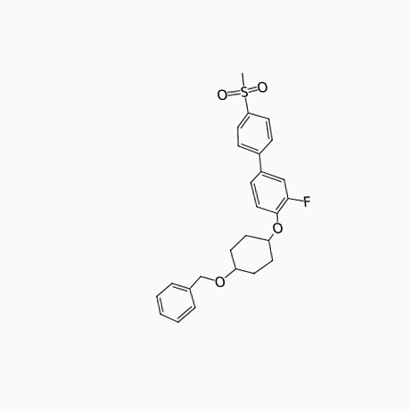 CS(=O)(=O)c1ccc(-c2ccc(OC3CCC(OCc4ccccc4)CC3)c(F)c2)cc1